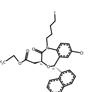 CCOC(=O)C[C@@H]1O[C@@H](c2cccc3ccccc23)c2cc(Cl)ccc2N(CCCCI)C1=O